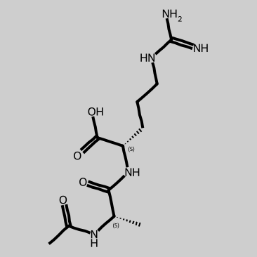 CC(=O)N[C@@H](C)C(=O)N[C@@H](CCCNC(=N)N)C(=O)O